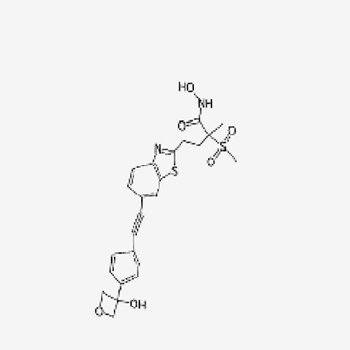 CC(CCc1nc2ccc(C#Cc3ccc(C4(O)COC4)cc3)cc2s1)(C(=O)NO)S(C)(=O)=O